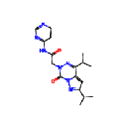 CC(C)c1cc2c(C(C)C)nn(CC(=O)Nc3ccncn3)c(=O)n2n1